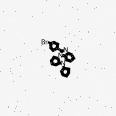 Brc1ccc(-c2nc3cccc4c3n2-c2ccccc2N4c2ccccc2)cc1